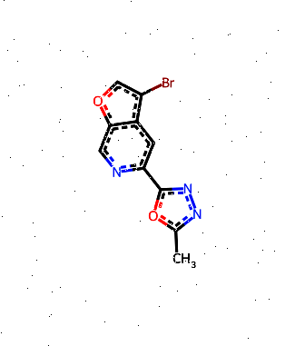 Cc1nnc(-c2cc3c(Br)coc3cn2)o1